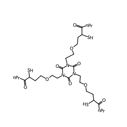 CCCC(=O)C(S)CCOCCn1c(=O)n(CCOCCC(S)C(=O)CCC)c(=O)n(CCOCCC(S)C(=O)CCC)c1=O